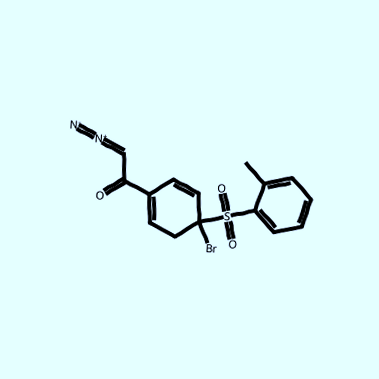 Cc1ccccc1S(=O)(=O)C1(Br)C=CC(C(=O)C=[N+]=[N-])=CC1